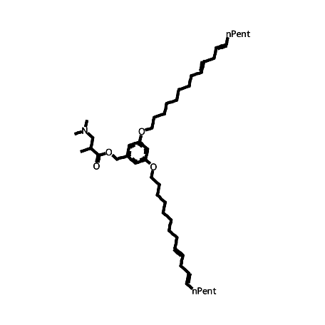 CCCCCC=CCC=CCCCCCCCCOc1cc(COC(=O)C(C)CN(C)C)cc(OCCCCCCCCC=CCC=CCCCCC)c1